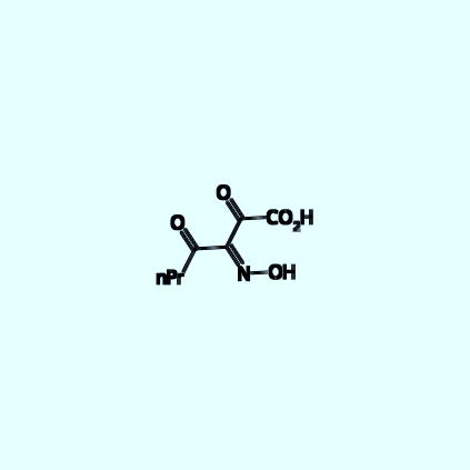 CCCC(=O)C(=NO)C(=O)C(=O)O